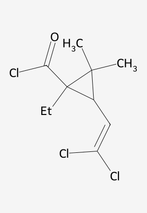 CCC1(C(=O)Cl)C(C=C(Cl)Cl)C1(C)C